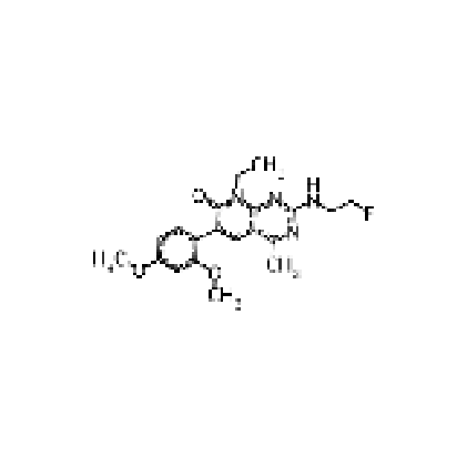 CCn1c(=O)c(-c2ccc(OC)cc2OC)cc2c(C)nc(NCCF)nc21